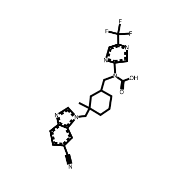 CC1(Cn2cnc3ccc(C#N)cc32)CCCC(CN(C(=O)O)c2cnc(C(F)(F)F)cn2)C1